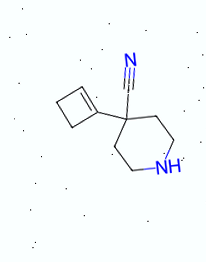 N#CC1(C2=CCC2)CCNCC1